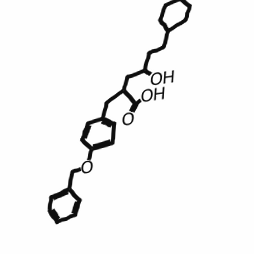 O=C(O)C(Cc1ccc(OCc2ccccc2)cc1)CC(O)CCC1CCCCC1